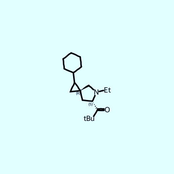 CCN1C[C@]2(CC2C2CCCCC2)C[C@H]1C(=O)C(C)(C)C